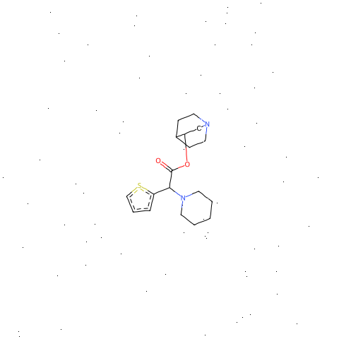 O=C(OC1CN2CCC1CC2)C(c1cccs1)N1CCCCC1